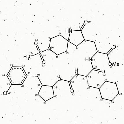 COC(=O)C(CC1CC2(CCN(S(C)(=O)=O)CC2)NC1=O)NC(=O)[C@H](CC1CCCCC1)NC(=O)OC1CCCC1Cc1cccc(Cl)c1